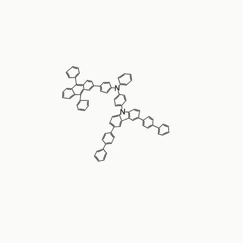 c1ccc(-c2ccc(-c3ccc4c(c3)c3cc(-c5ccc(-c6ccccc6)cc5)ccc3n4-c3ccc(N(c4ccccc4)c4ccc(-c5ccc6c(-c7ccccc7)c7ccccc7c(-c7ccccc7)c6c5)cc4)cc3)cc2)cc1